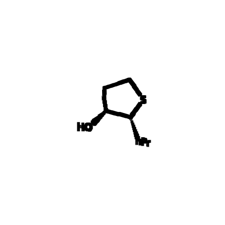 CCC[C@H]1SCC[C@@H]1O